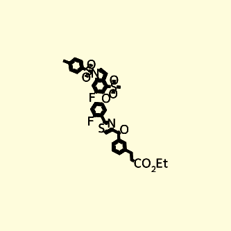 CCOC(=O)CCc1cccc(C(=O)c2csc(-c3cc(Oc4c(F)cc5c(ccn5S(=O)(=O)c5ccc(C)cc5)c4S(C)(=O)=O)ccc3F)n2)c1